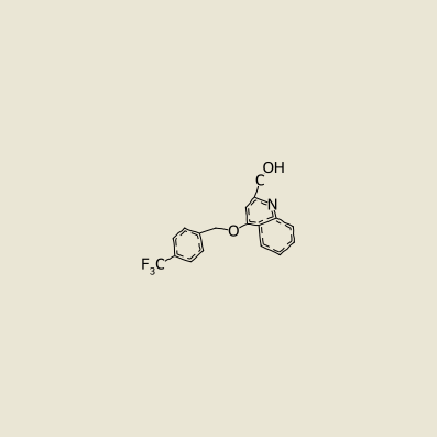 OCc1cc(OCc2ccc(C(F)(F)F)cc2)c2ccccc2n1